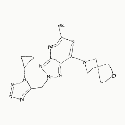 CC(C)(C)c1nc(N2CC3(COC3)C2)c2nn(Cc3nnnn3C3CC3)nc2n1